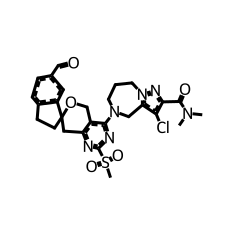 CN(C)C(=O)c1nn2c(c1Cl)CN(c1nc(S(C)(=O)=O)nc3c1COC1(CCc4ccc(C=O)cc41)C3)CCC2